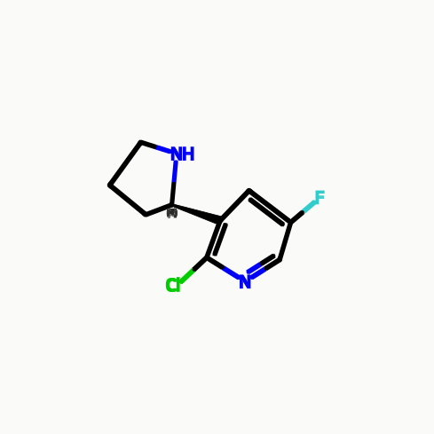 Fc1cnc(Cl)c([C@H]2CCCN2)c1